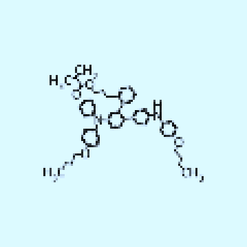 C=C(C)C(=O)OCCCc1ccccc1-c1cc(N(c2ccccc2)c2ccc(OCCCC)cc2)ccc1-c1ccc(Nc2ccc(OCCCC)cc2)cc1